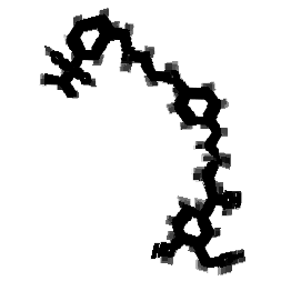 CC(C)S(=O)(=O)c1cccc(COCCOc2ccc(CCNC[C@@H](O)c3ccc(O)c(CO)c3)cc2)c1